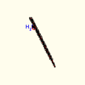 CCCCCCCCCCCCCCCCCCCCCCCCCCCCCCCCCCCCCCCCCCCCCCCCCCCCCCCC(CCCCCCCCCCCC)C(N)=O